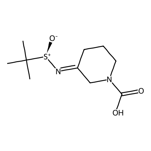 CC(C)(C)[S@@+]([O-])N=C1CCCN(C(=O)O)C1